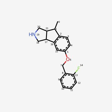 CC1c2ccc(OCc3ccccc3F)cc2C2CNCC12